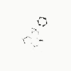 CO[C@@H](C1CCCN1)[C@@H](C)C(=O)NCC1(c2ccccc2)CC1